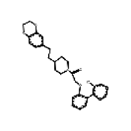 O=C(COc1ccccc1-c1ccccc1O)N1CCC(CCc2ccc3c(c2)OCCO3)CC1